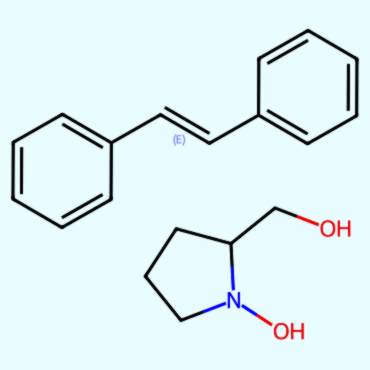 C(=C\c1ccccc1)/c1ccccc1.OCC1CCCN1O